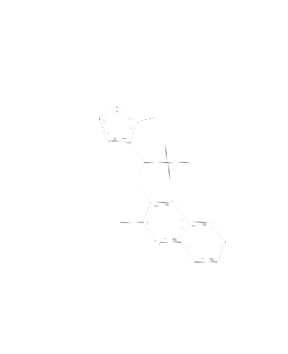 Cn1ccnc1C(Oc1nc2ccccc2nc1Cl)C(F)(F)F